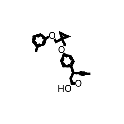 CC#CC(CC(=O)O)c1ccc(OCC2(COc3cccc(C)c3)CC2)cc1